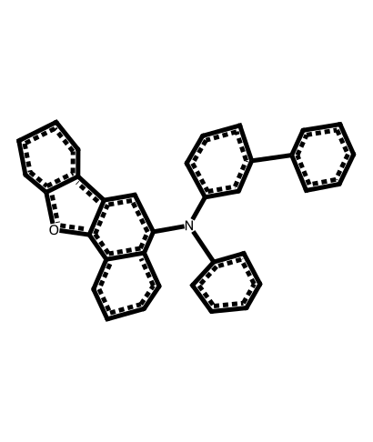 c1ccc(-c2cccc(N(c3ccccc3)c3cc4c5ccccc5oc4c4ccccc34)c2)cc1